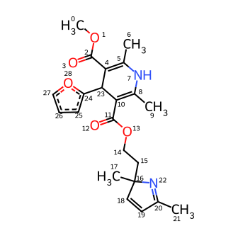 COC(=O)C1=C(C)NC(C)=C(C(=O)OCCC2(C)C=CC(C)=N2)C1c1ccco1